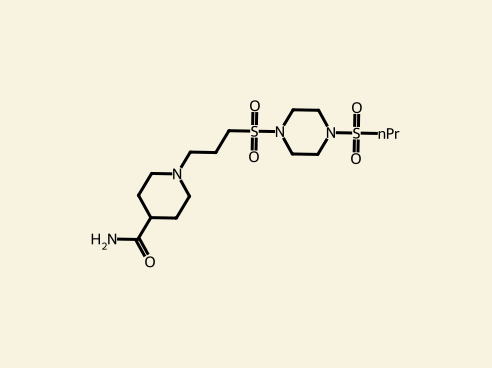 CCCS(=O)(=O)N1CCN(S(=O)(=O)CCCN2CCC(C(N)=O)CC2)CC1